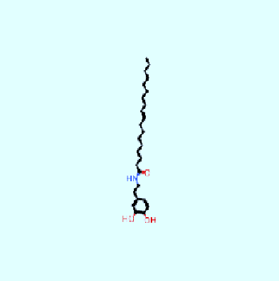 CCCCCCCCC=CCCCCCCCC(=O)NCCc1ccc(O)c(O)c1